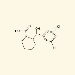 O=C(O)N1CCCCC1C(O)c1cc(Cl)cc(Cl)c1